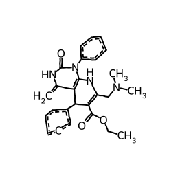 C=C1NC(=O)N(c2ccccc2)C2=C1C(c1ccccc1)C(C(=O)OCC)=C(CN(C)C)N2